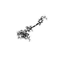 CN1CCC(F)(C#CC#Cc2cc3n(c2)C(=O)N(CC[C@](C)(C(=O)NO)S(C)(=O)=O)C3)CC1